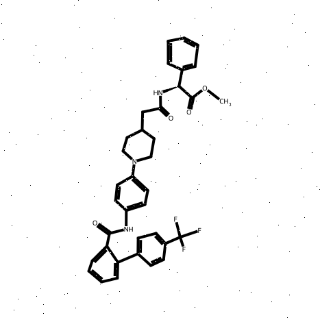 COC(=O)[C@@H](NC(=O)CC1CCN(c2ccc(NC(=O)c3ccccc3-c3ccc(C(F)(F)F)cc3)cc2)CC1)c1ccccc1